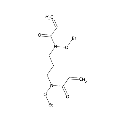 C=CC(=O)N(CCCN(OCC)C(=O)C=C)OCC